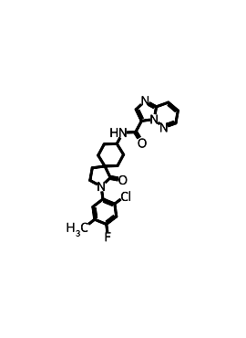 Cc1cc(N2CCC3(CCC(NC(=O)c4cnc5cccnn45)CC3)C2=O)c(Cl)cc1F